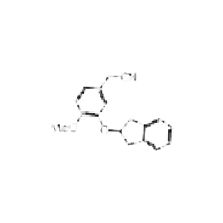 COc1ccc(CC#N)cc1OC1Cc2ccccc2C1